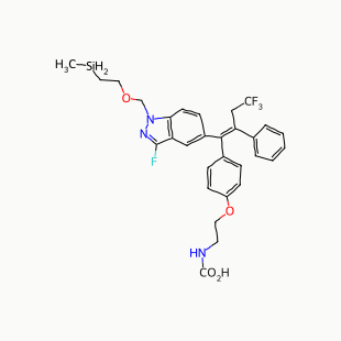 C[SiH2]CCOCn1nc(F)c2cc(/C(=C(\CC(F)(F)F)c3ccccc3)c3ccc(OCCNC(=O)O)cc3)ccc21